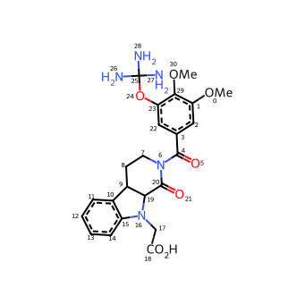 COc1cc(C(=O)N2CCC3c4ccccc4N(CC(=O)O)C3C2=O)cc(OC(N)(N)N)c1OC